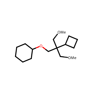 COCC(COC)(COC1CCCCC1)C1CCC1